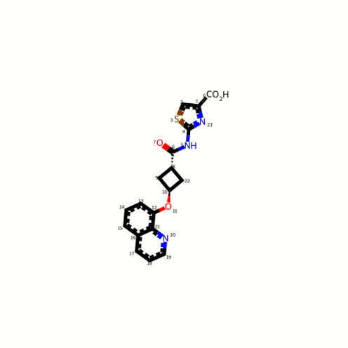 O=C(O)c1csc(NC(=O)[C@H]2C[C@H](Oc3cccc4cccnc34)C2)n1